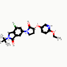 CCOc1ccc(O[C@@H]2CCN(c3cc(F)c4c(c3)C(=O)N(C(C)(C)C)C4)C2=O)cn1